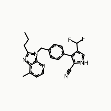 CCCc1nc2c(C)ccnc2n1Cc1ccc(-c2c(C(F)F)c[nH]c2C#N)cc1